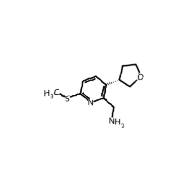 CSc1ccc([C@@H]2CCOC2)c(CN)n1